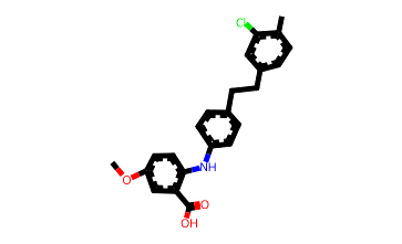 COc1ccc(Nc2ccc(CCc3ccc(C)c(Cl)c3)cc2)c(C(=O)O)c1